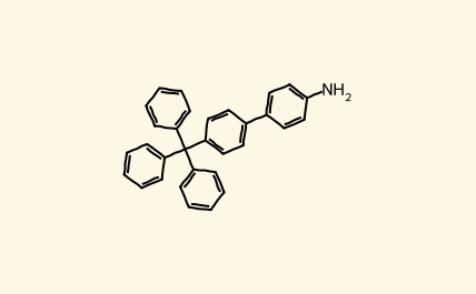 Nc1ccc(-c2ccc(C(c3ccccc3)(c3ccccc3)c3ccccc3)cc2)cc1